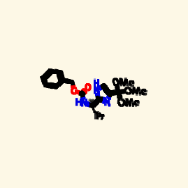 COC(OC)(OC)c1c[nH]c([C@@H](NC(=O)OCc2ccccc2)C(C)C)n1